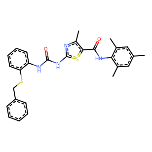 Cc1cc(C)c(NC(=O)c2sc(NC(=O)Nc3ccccc3SCc3ccccc3)nc2C)c(C)c1